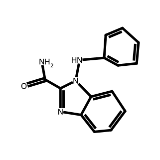 NC(=O)c1nc2ccccc2n1Nc1ccccc1